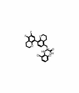 O=C(O)[C@H](Cc1ccc(-c2cc(F)c(F)c3c2OCCC3)c2c1CCCO2)Nc1c(Cl)cccc1Cl